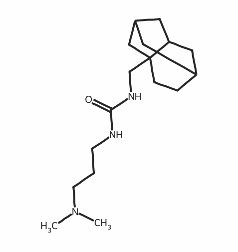 CN(C)CCCNC(=O)NCC12CCC3CC(CC1C3)C2